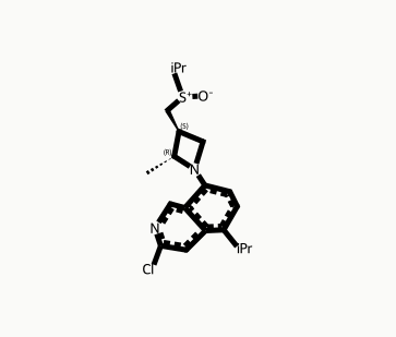 CC(C)c1ccc(N2C[C@H](C[S+]([O-])C(C)C)[C@H]2C)c2cnc(Cl)cc12